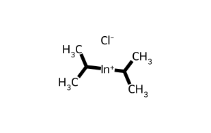 C[CH](C)[In+][CH](C)C.[Cl-]